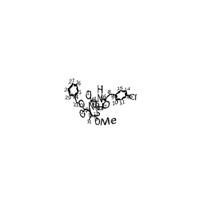 CO[C@H]1S[C@H]2[C@@H](NC(=O)Cc3ccc(Cl)cc3)C(=O)N2C(C(=O)OCc2ccccc2)=C1C